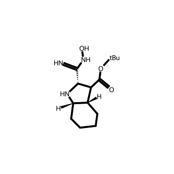 CC(C)(C)OC(=O)C1[C@@H](C(=N)NO)N[C@H]2CCCC[C@@H]12